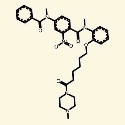 CN1CCN(C(=O)CCCCCOc2ccccc2N(C)C(=O)c2ccc(N(C)C(=O)c3ccccc3)cc2[N+](=O)[O-])CC1